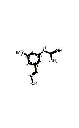 N=C(N)Nc1cc(C=NO)cc(C(=O)O)c1